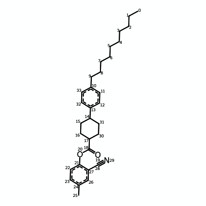 CCCCCCCCCCc1ccc(C2CCC(C(=O)Oc3ccc(C)cc3C#N)CC2)cc1